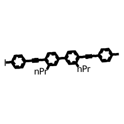 CCCc1cc(-c2ccc(C#Cc3ccc(I)cc3)c(CCC)c2)ccc1C#Cc1ccc(C)cc1